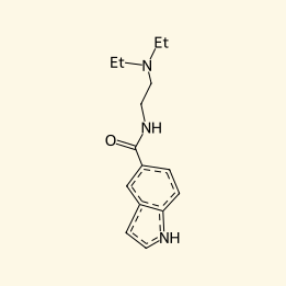 CCN(CC)CCNC(=O)c1ccc2[nH]ccc2c1